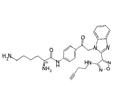 C#CCCNc1nonc1-c1nc2ccccc2n1CC(=O)c1ccc(NC(=O)[C@@H](N)CCCCN)cc1